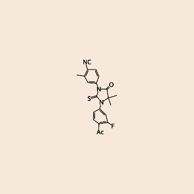 [C-]#[N+]c1ccc(N2C(=O)C(C)(C)N(c3ccc(C(C)=O)c(F)c3)C2=S)cc1C